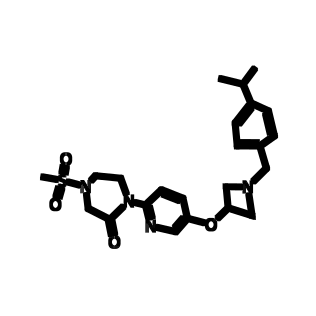 CC(C)c1ccc(CN2CC(Oc3ccc(N4CCN(S(C)(=O)=O)CC4=O)nc3)C2)cc1